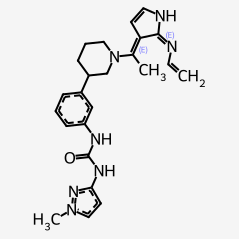 C=C/N=C1/NC=C/C1=C(/C)N1CCCC(c2cccc(NC(=O)Nc3ccn(C)n3)c2)C1